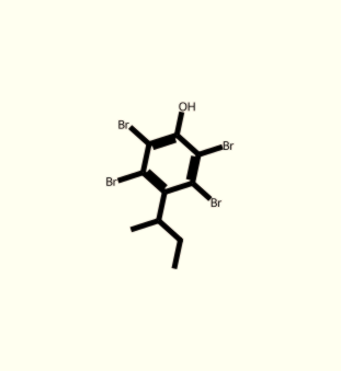 CCC(C)c1c(Br)c(Br)c(O)c(Br)c1Br